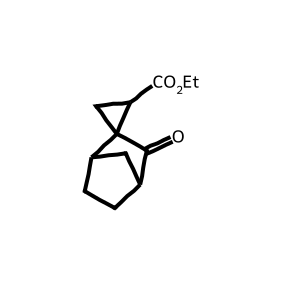 CCOC(=O)C1CC12C(=O)C1CCC2C1